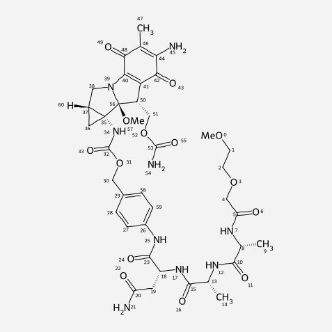 COCCOCC(=O)N[C@H](C)C(=O)N[C@H](C)C(=O)N[C@H](CC(N)=O)C(=O)Nc1ccc(COC(=O)N[C@]23C[C@@H]2CN2C4=C(C(=O)C(N)=C(C)C4=O)[C@H](COC(N)=O)[C@@]23OC)cc1